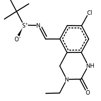 CCN1Cc2c(C=N[S@@+]([O-])C(C)(C)C)cc(Cl)cc2NC1=O